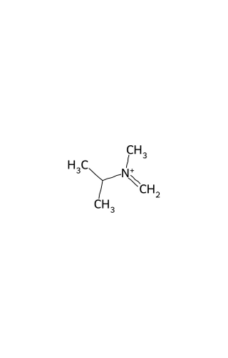 C=[N+](C)C(C)C